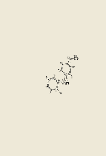 Cc1ccccc1Nc1ccc([C]=O)cc1